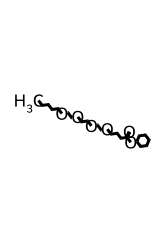 CCCCCOCCOCCOCCOCCCC(=O)OC1CCCCC1